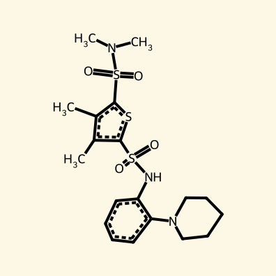 Cc1c(S(=O)(=O)Nc2ccccc2N2CCCCC2)sc(S(=O)(=O)N(C)C)c1C